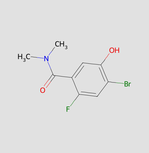 CN(C)C(=O)c1cc(O)c(Br)cc1F